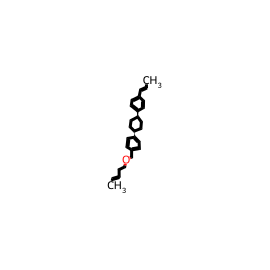 CC=CCCOCc1ccc([C@H]2CC[C@H](c3ccc(C=CC)cc3)CC2)cc1